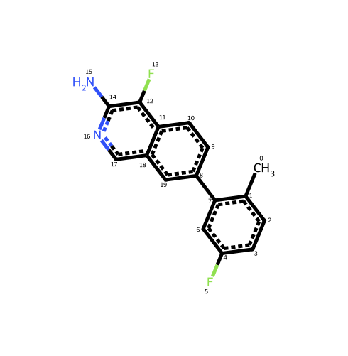 Cc1ccc(F)cc1-c1ccc2c(F)c(N)ncc2c1